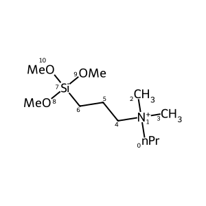 CCC[N+](C)(C)CCC[Si](OC)(OC)OC